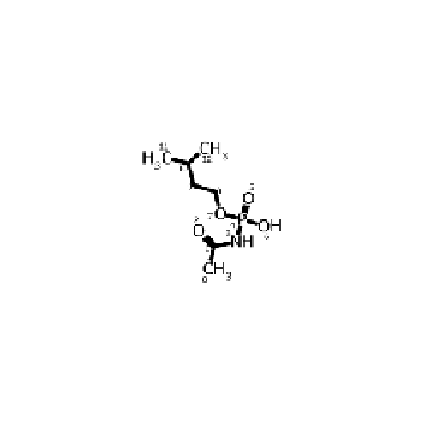 CC(=O)NP(=O)(O)OCCC(C)C